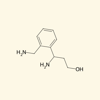 NCc1ccccc1C(N)CCO